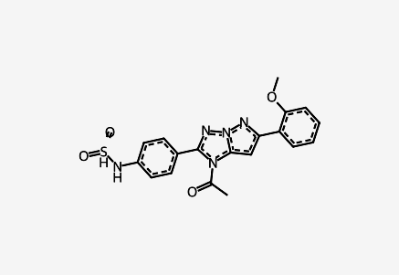 COc1ccccc1-c1cc2n(C(C)=O)c(-c3ccc(N[SH](=O)=O)cc3)nn2n1